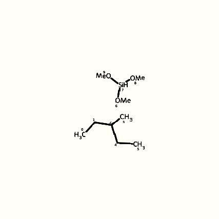 CCC(C)CC.CO[SiH](OC)OC